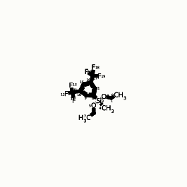 CCO[Si](C)(OCC)c1cc(C(F)(F)F)cc(C(F)(F)F)c1